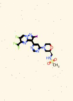 CS(=O)(=O)NC[C@H]1CN(c2cc(-c3c(I)nn4cc(F)c(C(F)F)nc34)ncn2)CCO1